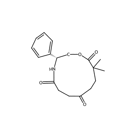 CC1(C)CCC(=O)CCC(=O)N[C@H](c2ccccc2)COC1=O